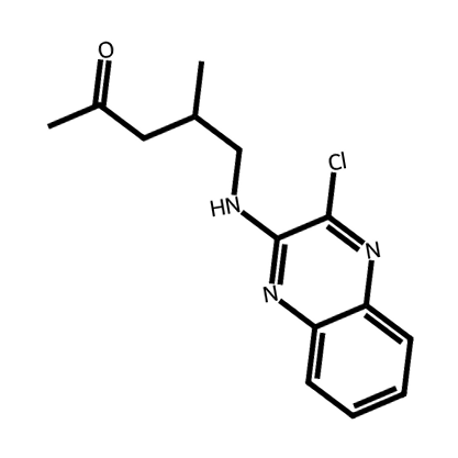 CC(=O)CC(C)CNc1nc2ccccc2nc1Cl